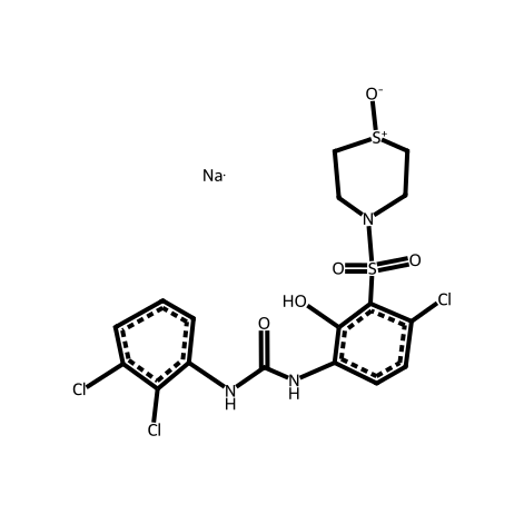 O=C(Nc1ccc(Cl)c(S(=O)(=O)N2CC[S+]([O-])CC2)c1O)Nc1cccc(Cl)c1Cl.[Na]